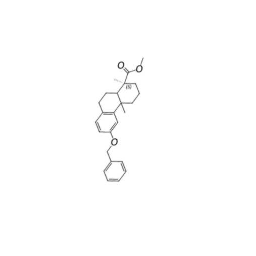 COC(=O)[C@@]1(C)CCCC2(C)c3cc(OCc4ccccc4)ccc3CCC21